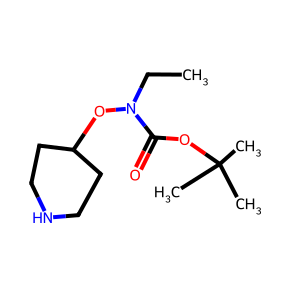 CCN(OC1CCNCC1)C(=O)OC(C)(C)C